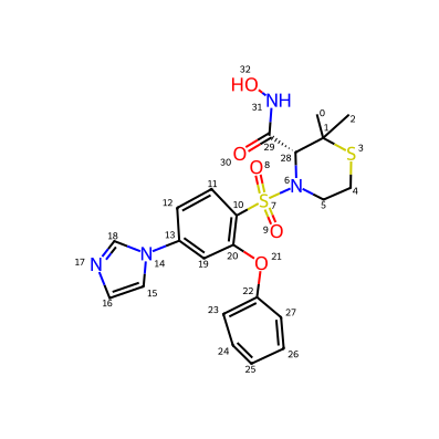 CC1(C)SCCN(S(=O)(=O)c2ccc(-n3ccnc3)cc2Oc2ccccc2)[C@@H]1C(=O)NO